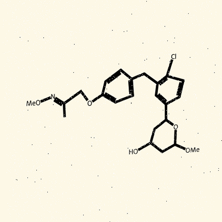 CO/N=C(\C)COc1ccc(Cc2cc(C3CC(O)CC(OC)O3)ccc2Cl)cc1